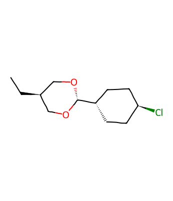 CC[C@H]1CO[C@H]([C@H]2CC[C@H](Cl)CC2)OC1